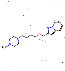 CN1CCN(CCCCOCc2cc3ccccn3n2)CC1